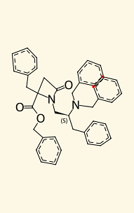 O=C1CC(Cc2ccccc2)(C(=O)OCc2ccccc2)N1C[C@H](Cc1ccccc1)N(Cc1ccccc1)Cc1ccccc1